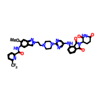 COc1cc2nn(CCN3CCN(c4ncc(Nc5cccc6c5C(=O)N(C5CCC(=O)NC5=O)C6=O)cn4)CC3)cc2cc1NC(=O)c1cccc(C(F)(F)F)n1